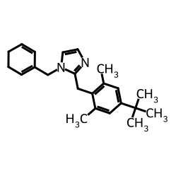 Cc1cc(C(C)(C)C)cc(C)c1Cc1nccn1CC1=CCCC=C1